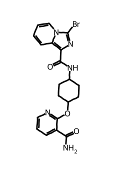 NC(=O)c1cccnc1OC1CCC(NC(=O)c2nc(Br)n3ccccc23)CC1